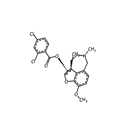 COc1ccc2c3c1OC1C[C@@H](OC(=O)c4ccc(Cl)cc4Cl)C(C)[C@@]31CCN(C)C2